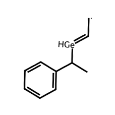 [CH2][CH]=[GeH][CH](C)c1ccccc1